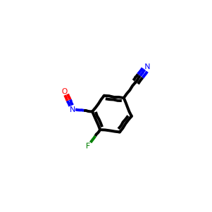 N#Cc1ccc(F)c(N=O)c1